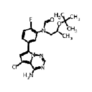 C[C@@H](CN(C=O)c1cc(-c2cc(Cl)c3c(N)ncnn23)ccc1F)OC(C)(C)C